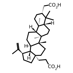 C=C(C)[C@@H]1CC[C@]2(CCC(=O)O)CC[C@]3(C)[C@H](CC[C@@H]4[C@@]5(C)CC[C@H](CC(=O)O)C(C)(C)[C@@H]5CC[C@]43C)[C@@H]12